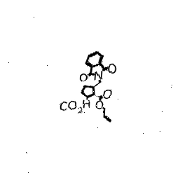 C=CCOC(=O)[C@H]1[C@H](CN2C(=O)c3ccccc3C2=O)CC[C@@H]1C(=O)O